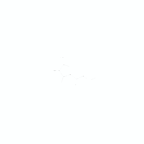 OC1C(O)[C@@H]([C@@H](O)COI)O[C@H]1O